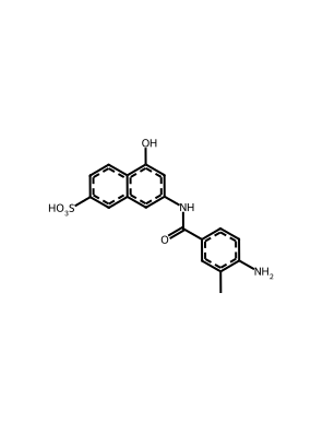 Cc1cc(C(=O)Nc2cc(O)c3ccc(S(=O)(=O)O)cc3c2)ccc1N